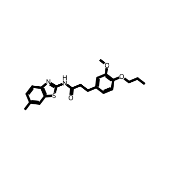 CCCOc1ccc(CCC(=O)Nc2nc3ccc(C)cc3s2)cc1OC